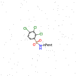 CCCCCNS(=O)(=O)c1ccc(Cl)c(Cl)c1Cl